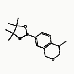 CN1COCc2cc(B3OC(C)(C)C(C)(C)O3)ccc21